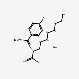 CCCCCC(=O)c1ccc([O-])cc1.CCCCCCCCCC(=O)O.[Na+]